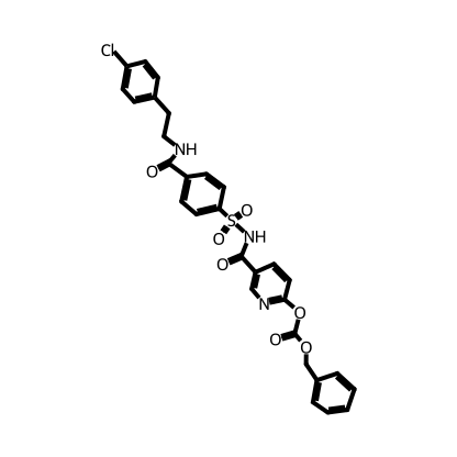 O=C(OCc1ccccc1)Oc1ccc(C(=O)NS(=O)(=O)c2ccc(C(=O)NCCc3ccc(Cl)cc3)cc2)cn1